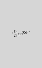 [Cd+2].[Cl-].[Cl-].[Zn]